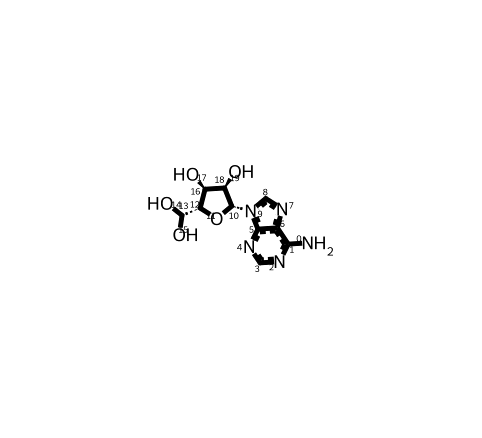 Nc1ncnc2c1ncn2[C@@H]1O[C@H](C(O)O)[C@@H](O)[C@H]1O